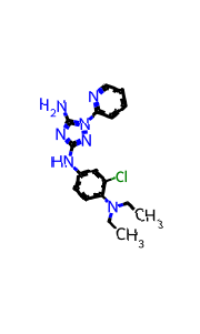 CCN(CC)c1ccc(Nc2nc(N)n(-c3ccccn3)n2)cc1Cl